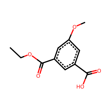 CCOC(=O)c1cc(OC)cc(C(=O)O)c1